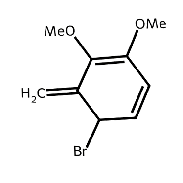 C=C1C(OC)=C(OC)C=CC1Br